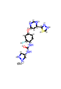 CC(C)(C)n1cc(NC(=O)Nc2ccc(Oc3cc(-c4nncs4)ncn3)cc2F)cn1